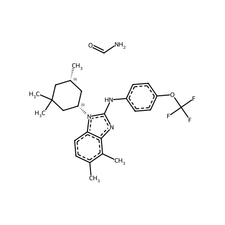 Cc1ccc2c(nc(Nc3ccc(OC(F)(F)F)cc3)n2[C@H]2C[C@@H](C)CC(C)(C)C2)c1C.NC=O